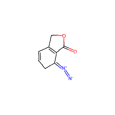 [N-]=[N+]=C1CC=CC2=C1C(=O)OC2